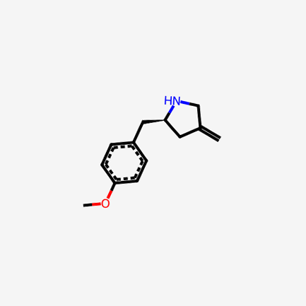 C=C1CN[C@H](Cc2ccc(OC)cc2)C1